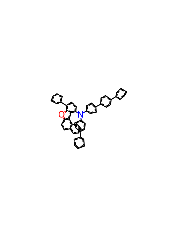 c1ccc(-c2ccc(-c3ccc(N(c4ccc(-c5ccccc5)cc4)c4ccc(-c5ccccc5)c5oc6ccc7ccccc7c6c45)cc3)cc2)cc1